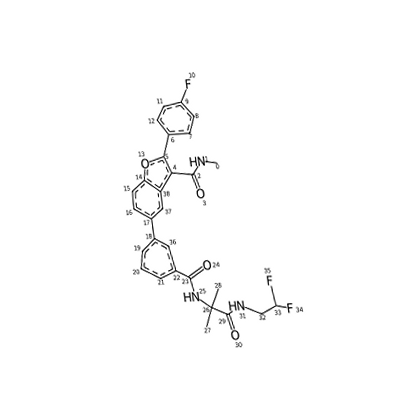 CNC(=O)c1c(-c2ccc(F)cc2)oc2ccc(-c3cccc(C(=O)NC(C)(C)C(=O)NCC(F)F)c3)cc12